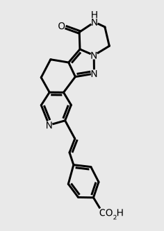 O=C(O)c1ccc(/C=C/c2cc3c(cn2)CCc2c-3nn3c2C(=O)NCC3)cc1